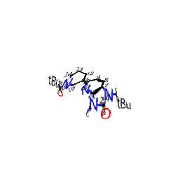 Cn1c(=O)n(CC(C)(C)C)c2ccc(C3CCCN(C(=O)C(C)(C)C)C3)nc21